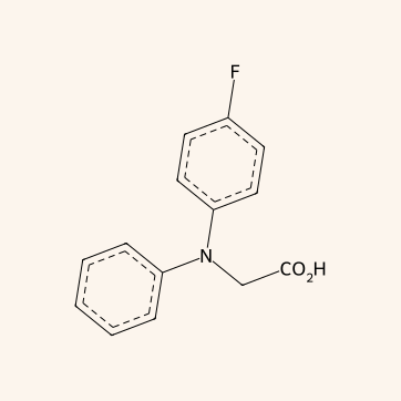 O=C(O)CN(c1ccccc1)c1ccc(F)cc1